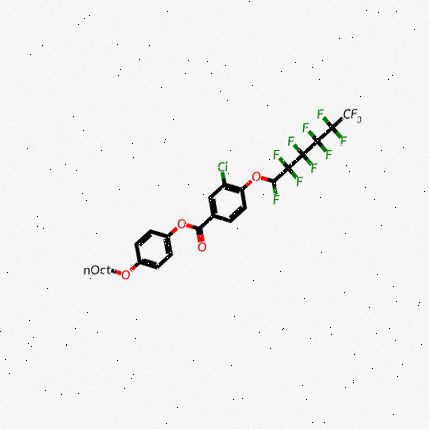 CCCCCCCCOc1ccc(OC(=O)c2ccc(OC(F)C(F)(F)C(F)(F)C(F)(F)C(F)(F)C(F)(F)F)c(Cl)c2)cc1